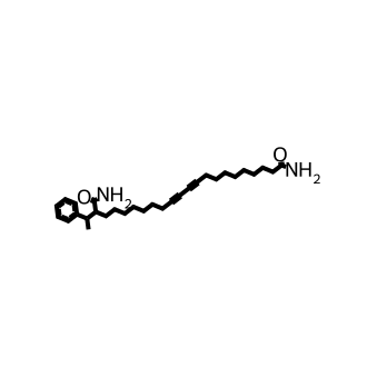 CC(c1ccccc1)C(CCCCCCCC#CC#CCCCCCCCCC(N)=O)C(N)=O